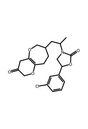 CC(CC1CCC2=C(CC(=O)CO2)OC1)N1CC(c2cccc(Cl)c2)OC1=O